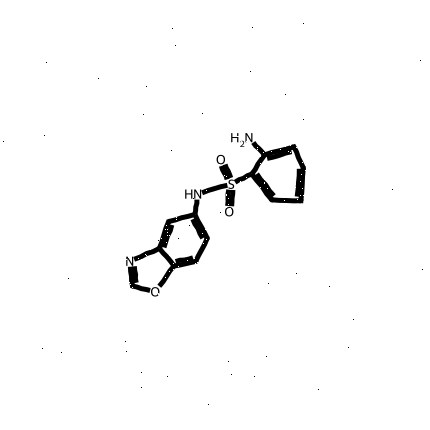 Nc1ccccc1S(=O)(=O)Nc1ccc2ocnc2c1